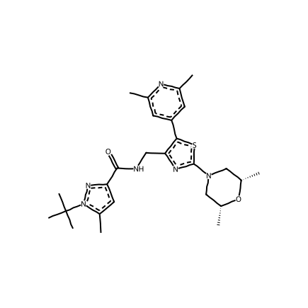 Cc1cc(-c2sc(N3C[C@@H](C)O[C@@H](C)C3)nc2CNC(=O)c2cc(C)n(C(C)(C)C)n2)cc(C)n1